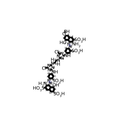 Nc1c(S(=O)(=O)O)cc2cc(OS)cc(O)c2c1/N=N/c1ccc(Nc2nc(Cl)nc(NCCNc3nc(Cl)nc(Nc4ccc(/N=N/c5c(N)c(S(=O)(=O)O)cc6cc(S(=O)(=O)O)cc(O)c56)c(S(=O)(=O)O)c4)n3)n2)cc1S(=O)(=O)O